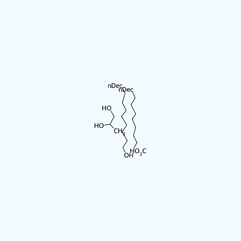 CC(O)CO.CCCCCCCCCCCCCCCCCC(=O)O.CCCCCCCCCCCCCCCCCCO